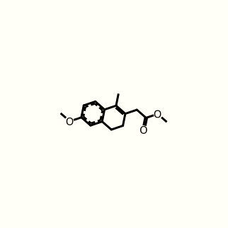 COC(=O)CC1=C(C)c2ccc(OC)cc2CC1